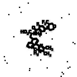 Cc1nc(C)c(-c2ccc(C[C@H](NC(=O)c3c(F)cc(N4CCOC[C@@H]4C(F)(F)F)cc3F)C(=O)O)c3cccnc23)nc1C